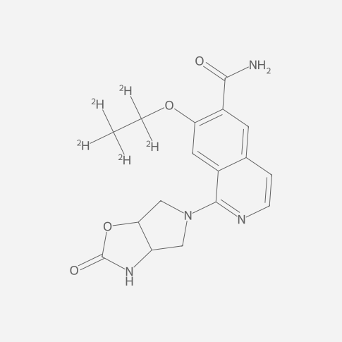 [2H]C([2H])([2H])C([2H])([2H])Oc1cc2c(N3CC4NC(=O)OC4C3)nccc2cc1C(N)=O